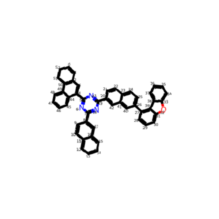 C1=Cc2cc(-c3nc(-c4ccc5ccccc5c4)nc(-c4ccc5ccc(-c6cccc7oc8ccccc8c67)cc5c4)n3)c3ccccc3c2CC1